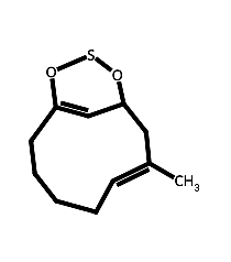 C/C1=C\CCCCC2=CC(C1)OSO2